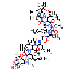 C/C=C/C[C@@H](C)[C@@H](C)[C@@H](C(=O)N[C@@H](CC)C(=O)N(C)CC(=O)O)N(C)C(=O)[C@H](C(C)C)N(C)C(=O)[C@H](CC(C)C)N(C)C(=O)[C@H](CC(C)C)N(C)C(=O)[C@@H](C)NC(=O)[C@H](C)NC(=O)[C@H](CC(C)C)N(C)C(=O)[C@@H](NC(=O)[C@@H](NC)C(C)C)C(C)C